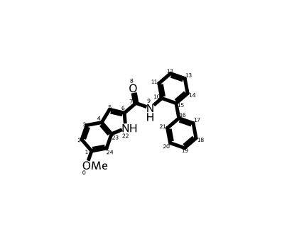 COc1ccc2cc(C(=O)Nc3ccccc3-c3ccccc3)[nH]c2c1